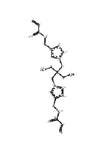 C=CC(=O)OCc1cn(CC(CO)(CO)Cn2cc(COC(=O)C=C)nn2)nn1